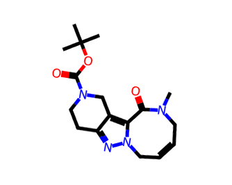 CN1C/C=C\Cn2nc3c(c2C1=O)CN(C(=O)OC(C)(C)C)CC3